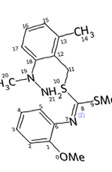 COc1ccccc1/N=C(/SC)SCc1c(C)cccc1N(C)N